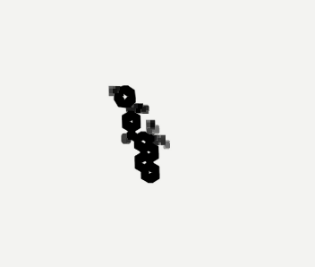 C1=CC=CNC=C1.COc1ccc(C(=O)C2C=c3c(ccc4c3=CCc3ccccc3-4)C(C)(C)C2)cc1